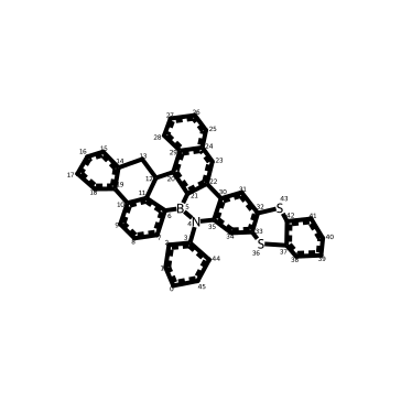 c1ccc(N2B3c4cccc5c4C(Cc4ccccc4-5)c4c3c(cc3ccccc43)-c3cc4c(cc32)Sc2ccccc2S4)cc1